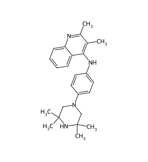 Cc1nc2ccccc2c(Nc2ccc(N3CC(C)(C)NC(C)(C)C3)cc2)c1C